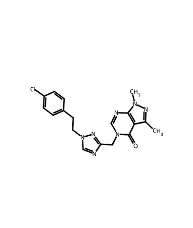 Cc1nn(C)c2ncn(Cc3ncn(CCc4ccc(Cl)cc4)n3)c(=O)c12